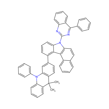 CC1(C)c2ccccc2N(c2ccccc2)c2cc(-c3cccc4c3c3c5ccccc5ccc3n4-c3nc(-c4ccccc4)c4ccccc4n3)ccc21